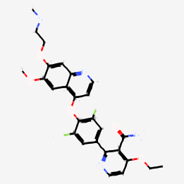 CCOc1ccnc(-c2cc(F)c(Oc3ccnc4cc(OCCNC)c(OC)cc34)c(F)c2)c1C(N)=O